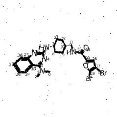 CN(C)c1nc(N[C@H]2CC[C@@H](CNC(=O)c3cc(Br)c(Br)o3)CC2)nc2ccccc12